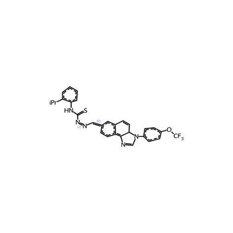 CC(C)c1ccccc1NC(=S)/N=N\C=c1/ccc2c(c1)C=CC1C=2N=CN1c1ccc(OC(F)(F)F)cc1